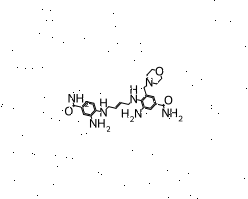 NC(=O)c1ccc(NC/C=C/CNc2c(N)cc(C(N)=O)cc2CN2CCOCC2)c(N)c1